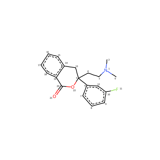 CN(C)CCC1(c2cccc(F)c2)Cc2ccccc2C(=O)O1